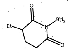 BN1C(=O)CCC(CC)C1=O